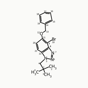 CC(C)(C)Cn1nnc2c(Br)c(OCc3ccccc3)ccc21